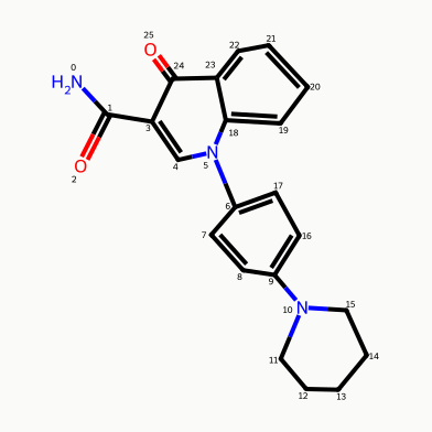 NC(=O)c1cn(-c2ccc(N3CCCCC3)cc2)c2ccccc2c1=O